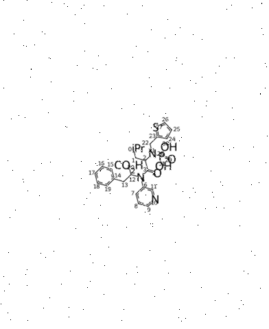 CC(C)CC(C(=O)N(c1cccnc1)C(Cc1ccccc1)C(=O)O)N(Cc1cccs1)P(=O)(O)O